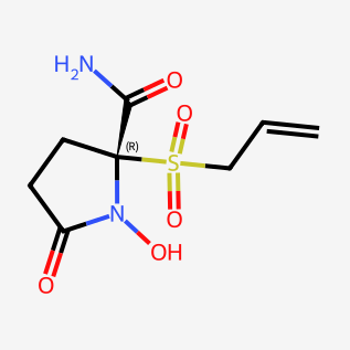 C=CCS(=O)(=O)[C@@]1(C(N)=O)CCC(=O)N1O